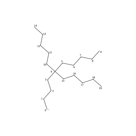 [CH2]CCCC(CCCCC)(CCCCC)CCCCC